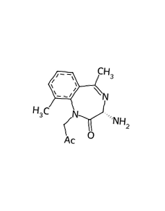 CC(=O)CN1C(=O)[C@@H](N)N=C(C)c2cccc(C)c21